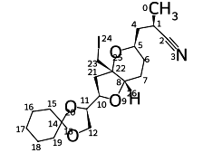 C[C@@H](C#N)C[C@H]1CC[C@@H]2O[C@@H]([C@H]3COC4(CCCCC4)O3)C[C@]2(CI)O1